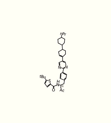 CCCC1CCC(C2CC=C(c3cnc(-c4ccc(C[C@H](NC(=O)c5ccc(C(C)(C)C)s5)C(C)=O)cc4)nc3)CC2)CC1